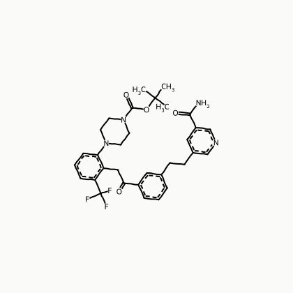 CC(C)(C)OC(=O)N1CCN(c2cccc(C(F)(F)F)c2CC(=O)c2cccc(CCc3cncc(C(N)=O)c3)c2)CC1